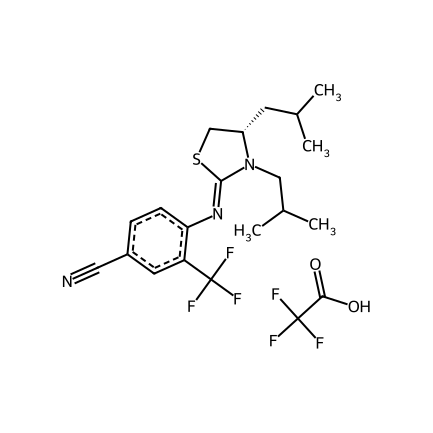 CC(C)C[C@H]1CSC(=Nc2ccc(C#N)cc2C(F)(F)F)N1CC(C)C.O=C(O)C(F)(F)F